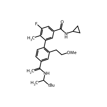 C=C(NC(C)C(C)(C)C)c1ccc(-c2cc(C(=O)NC3CC3)cc(F)c2C)c(CCOC)c1